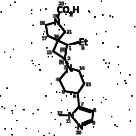 CC[C@H]1[C@@H](N2CCC(c3ccnn3C)CC2)CC12CCN(C(=O)O)C2